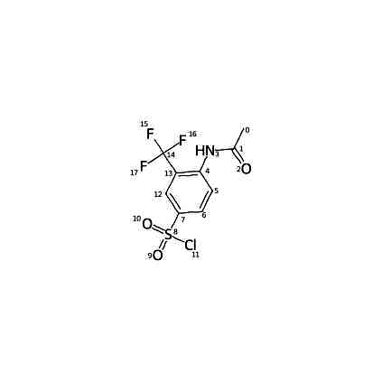 CC(=O)Nc1ccc(S(=O)(=O)Cl)cc1C(F)(F)F